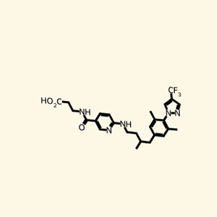 Cc1cc(CC(C)CCNc2ccc(C(=O)NCCC(=O)O)cn2)cc(C)c1-n1cc(C(F)(F)F)cn1